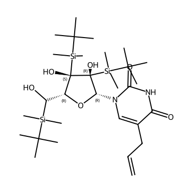 C=CCc1cn([C@@H]2O[C@H](C(O)[Si](C)(C)C(C)(C)C)[C@](O)([Si](C)(C)C(C)(C)C)[C@]2(O)[Si](C)(C)C(C)(C)C)c(=O)[nH]c1=O